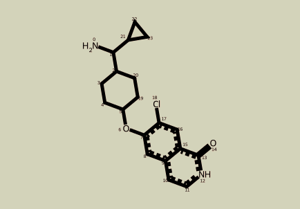 NC(C1CCC(Oc2cc3cc[nH]c(=O)c3cc2Cl)CC1)C1CC1